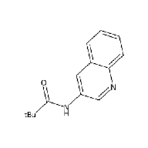 CC(C)(C)C(=O)Nc1cnc2ccccc2c1